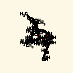 CCCCOc1ccc(CNC23C[C@H](O[C@@H]4C(O)C(O)[C@@H](CO)O[C@H]4Oc4c5cc6cc4Oc4ccc(cc4Cl)[C@@H](O)[C@@H](NC(=O)[C@@H](CC(C)C)NC)C(=O)NC(CC(N)=O)C(=O)N[C@H]6C(=O)N[C@@H]4C(=O)N[C@H](C(=O)N[C@H](C(=O)O)c6cc(O)c(CNCCCNC(=O)CCC[C@H](O)CO)c(O)c6-c6cc4ccc6O)[C@H](O)c4ccc(c(Cl)c4)O5)C2[C@@H](C)[C@H]3O)cc1